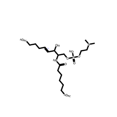 CCCCCCCCCCCCC/C=C/C(O)C(COP(=O)(O)OCCN(C)C)NC(=O)CCCCCCCCCCCCCCC